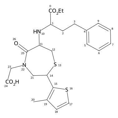 CCOC(=O)C(CCc1ccccc1)NC1CSC(c2sccc2C)CN(CC(=O)O)C1=O